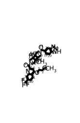 COCCOc1cc(C(=O)N2C[C@H]3[C@@H]4CN(C(=O)c5ccc6[nH]nnc6c5)C[C@@H]4[C@@]3(C)C2)nc2cc(C(F)(F)F)ccc12